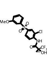 COc1cccc(S(=O)(=O)c2ccc(NC(=O)[C@@](C)(O)C(F)(F)F)c(Cl)c2)c1